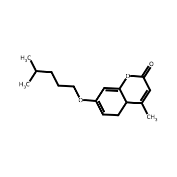 CC1=CC(=O)OC2=CC(OCCCC(C)C)=CCC12